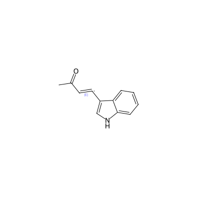 CC(=O)/C=[C]/c1c[nH]c2ccccc12